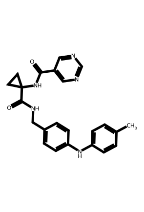 Cc1ccc(Nc2ccc(CNC(=O)C3(NC(=O)c4cncnc4)CC3)cc2)cc1